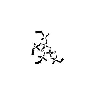 C=C[Si](C)(C)OP(=O)(O[Si](C)(C)C=C)OP(=O)(O[Si](C)(C)C=C)O[Si](C)(C)C=C